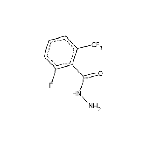 NNC(=O)c1c(F)cccc1C(F)(F)F